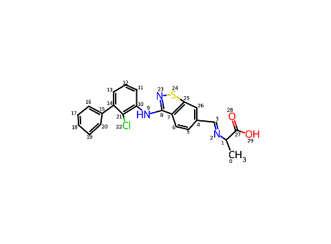 CC(N=Cc1ccc2c(Nc3cccc(-c4ccccc4)c3Cl)nsc2c1)C(=O)O